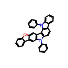 c1ccc(-n2c3cc4c(cc3c3c2ccc2c5ccccc5n(-c5ccccc5)c23)oc2ccccc24)cc1